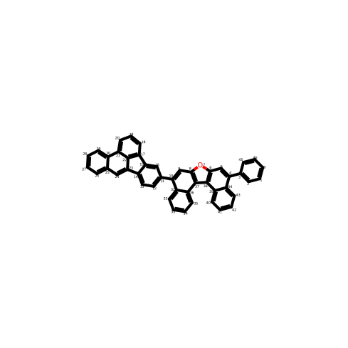 c1ccc(-c2cc3oc4cc(-c5ccc6c(c5)-c5cccc7c5c-6cc5ccccc57)c5ccccc5c4c3c3ccccc23)cc1